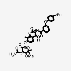 CO[C@@H]1[C@@H](OC(N)=O)[C@@H](O)[C@H](Oc2ccc3c(O)c(NC(=O)c4cccc(Oc5ccc(C(C)(C)C)cc5)c4)c(=O)oc3c2C)OC1(C)C